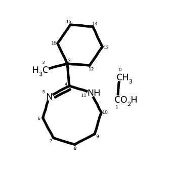 CC(=O)O.CC1(/C2=N/CCCCCN2)CCCCC1